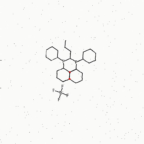 CCCC(P(C1CCCCC1)C1CCCCC1)P(C1CCCCC1)C1CCCCC1.F[B-](F)(F)F